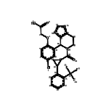 O=C(O)COc1ccc(Cl)cc1C1c2scnc2CCN1C(=O)C1CC1c1ccccc1C(F)(F)F